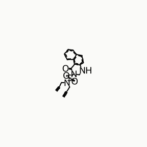 C#CCN(CC#C)S(=O)(=O)N1CNc2ccc3ccccc3c2C1=O